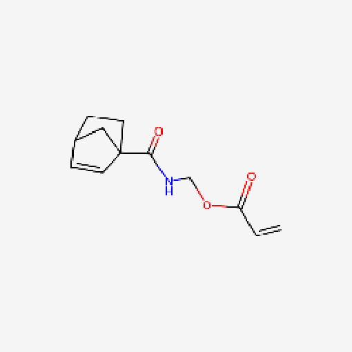 C=CC(=O)OCNC(=O)C12C=CC(CC1)C2